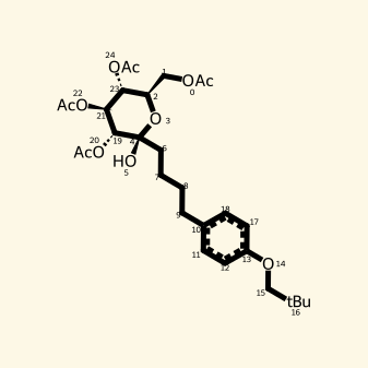 CC(=O)OC[C@H]1O[C@](O)(CCCCc2ccc(OCC(C)(C)C)cc2)[C@H](OC(C)=O)[C@@H](OC(C)=O)[C@@H]1OC(C)=O